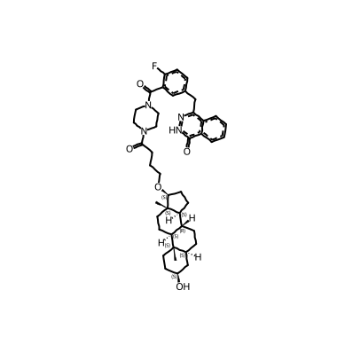 C[C@]12CC[C@H](O)C[C@@H]1CC[C@@H]1[C@@H]2CC[C@]2(C)[C@@H](OCCCC(=O)N3CCN(C(=O)c4cc(Cc5n[nH]c(=O)c6ccccc56)ccc4F)CC3)CC[C@@H]12